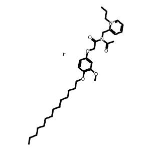 CCCCCCCCCCCCCCOc1ccc(OCC(=O)N(Cc2cccc[n+]2CCC)C(C)=O)cc1OC.[I-]